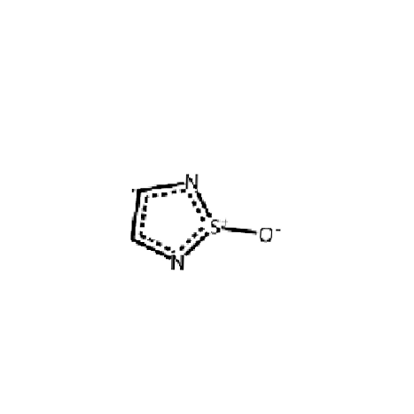 [O-][s+]1n[c]cn1